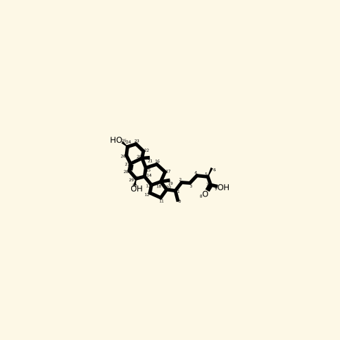 CC(CCC[C@@H](C)C(=O)O)C1CCC2C3C(CCC12C)C1(C)CC[C@H](O)CC1=C[C@@H]3O